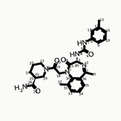 CC1=N[C@@H](NC(=O)Nc2cccc(C)c2)C(=O)N(CC(=O)N2CCC[C@H](C(N)=O)C2)c2c(C)cccc21